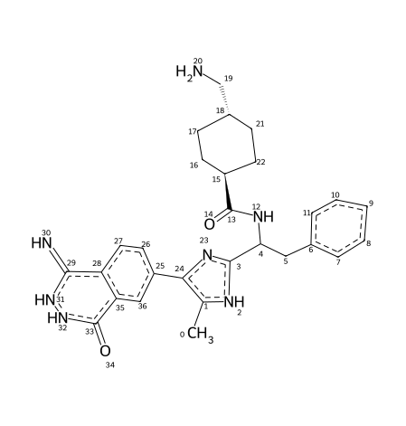 Cc1[nH]c(C(Cc2ccccc2)NC(=O)[C@H]2CC[C@H](CN)CC2)nc1-c1ccc2c(=N)[nH][nH]c(=O)c2c1